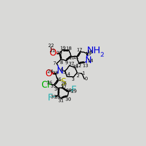 CC[C@H]1CC[C@H](N(Cc2cc(-c3ccnc(N)c3)ccc2OC)C(=O)c2sc3c(F)ccc(F)c3c2Cl)CC1